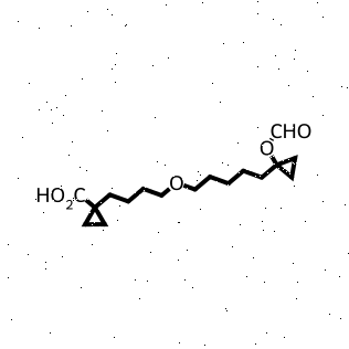 O=COC1(CCCCCOCCCCC2(C(=O)O)CC2)CC1